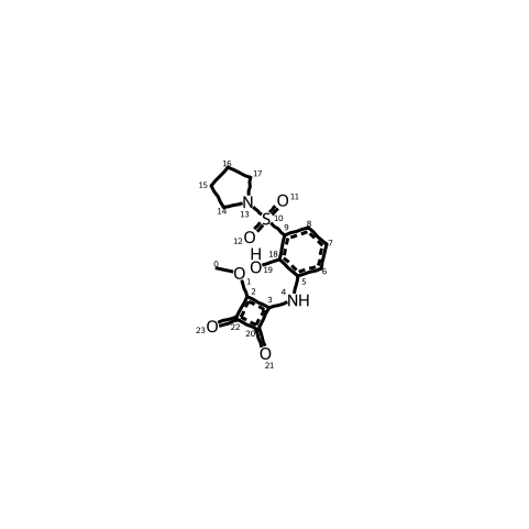 COc1c(Nc2cccc(S(=O)(=O)N3CCCC3)c2O)c(=O)c1=O